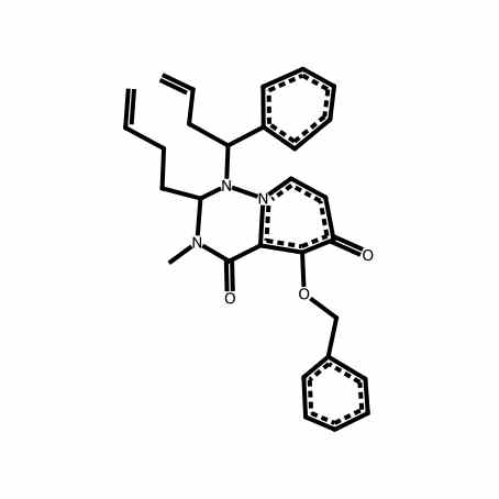 C=CCCC1N(C)C(=O)c2c(OCc3ccccc3)c(=O)ccn2N1C(CC=C)c1ccccc1